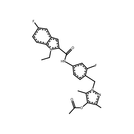 CCn1c(C(=O)Nc2ccc(Cn3nc(C)c(OC(C)=O)c3C)c(F)c2)cc2cc(F)ccc21